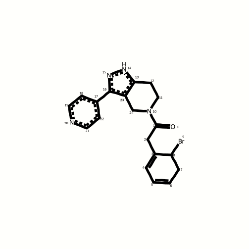 O=C(CC1=CC=CCC1Br)N1CCc2[nH]nc(-c3ccncc3)c2C1